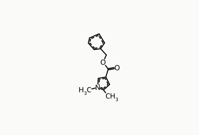 Cc1cc(C(=O)OCc2ccccc2)cn1C